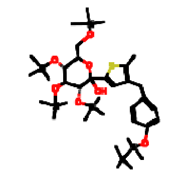 Cc1sc(C2(O)O[C@H](CO[Si](C)(C)C)[C@@H](O[Si](C)(C)C)[C@H](O[Si](C)(C)C)[C@H]2O[Si](C)(C)C)cc1Cc1ccc(O[Si](C)(C)C(C)(C)C)cc1